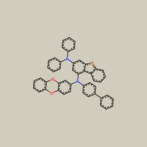 c1ccc(-c2ccc(N(c3ccc4c(c3)Oc3ccccc3O4)c3cc(N(c4ccccc4)c4ccccc4)cc4sc5ccccc5c34)cc2)cc1